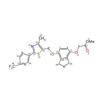 COC(=O)COc1ccc(SCc2sc(-c3ccc(C(F)(F)F)cc3)nc2C)c2c1CCC2